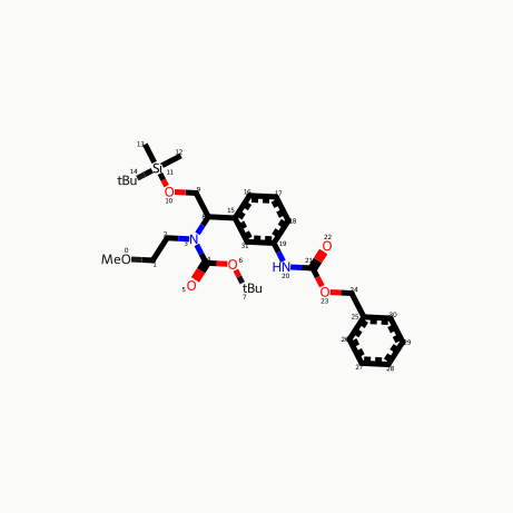 COCCN(C(=O)OC(C)(C)C)C(CO[Si](C)(C)C(C)(C)C)c1cccc(NC(=O)OCc2ccccc2)c1